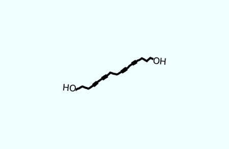 OCCCC#CC#CCCC#CC#CCCCO